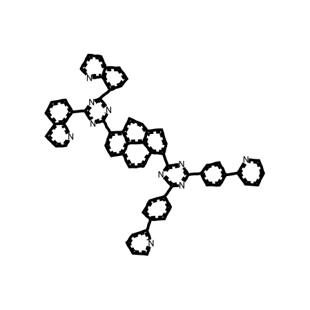 c1ccc(-c2ccc(-c3nc(-c4ccc(-c5ccccn5)cc4)nc(-c4ccc5ccc6c(-c7nc(-c8cccc9cccnc89)nc(-c8cccc9cccnc89)n7)ccc7ccc4c5c76)n3)cc2)nc1